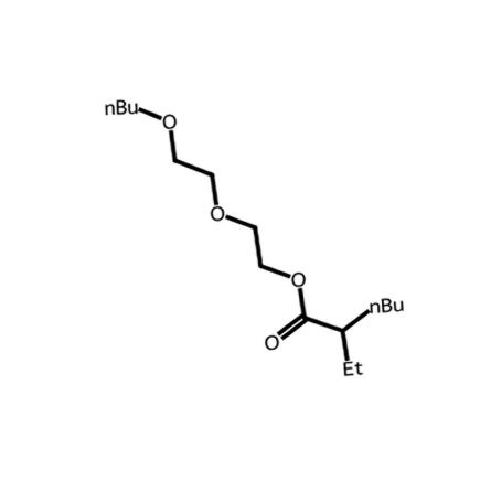 CCCCOCCOCCOC(=O)C(CC)CCCC